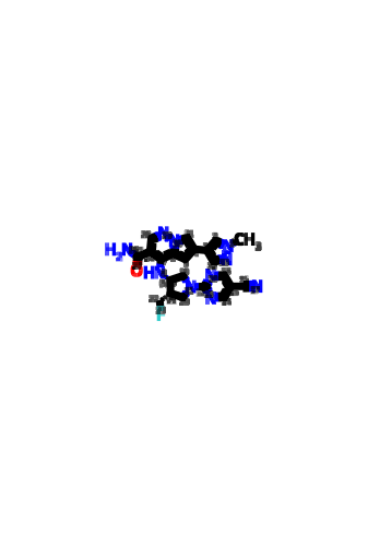 Cn1cc(-c2cc3c(N[C@@H]4CN(c5ncc(C#N)cn5)C[C@@H]4CF)c(C(N)=O)cnn3c2)cn1